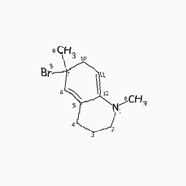 CN1CCCC2=CC(C)(Br)CC=C21